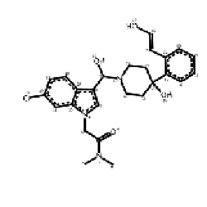 CN(C)C(=O)Cn1cc(C(O)N2CCC(O)(c3ccccc3/C=C/O)CC2)c2ccc(Cl)cc21